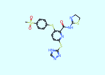 CS(=O)(=O)c1ccc(Sc2ccc(Sc3nnc[nH]3)nc2C(=O)NC2=NCCS2)cc1